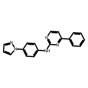 c1ccc(-c2ccnc(Nc3ccc(-n4cccn4)cc3)n2)cc1